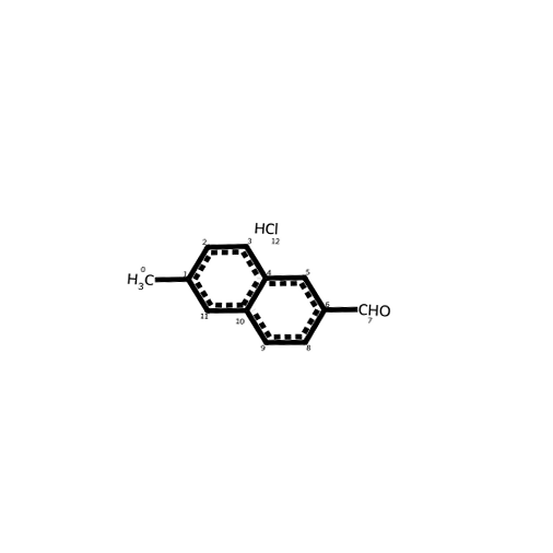 Cc1ccc2cc(C=O)ccc2c1.Cl